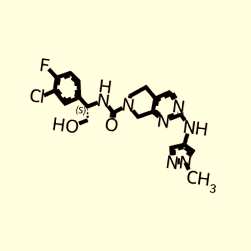 Cn1cc(Nc2ncc3c(n2)CN(C(=O)N[C@H](CO)c2ccc(F)c(Cl)c2)CC3)cn1